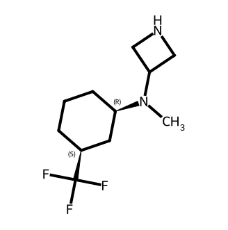 CN(C1CNC1)[C@@H]1CCC[C@H](C(F)(F)F)C1